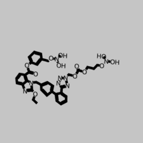 CCOc1nc2cccc(C(=O)Oc3cccc(CON(O)O)c3)c2n1Cc1ccc(-c2ccccc2-c2nnn(COC(=O)OCCCON(O)O)n2)cc1